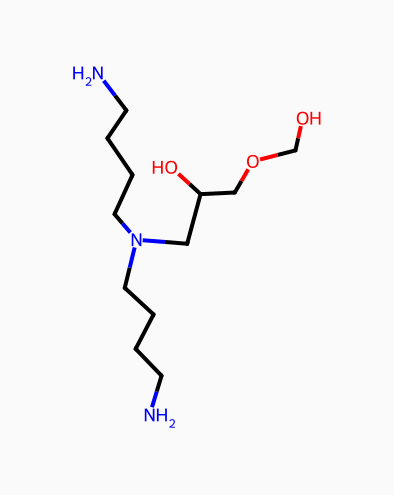 NCCCCN(CCCCN)CC(O)COCO